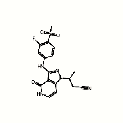 C[C@@H](CC#N)n1nc(Nc2ccc(S(C)(=O)=O)c(F)c2)c2c(=O)[nH]ccc21